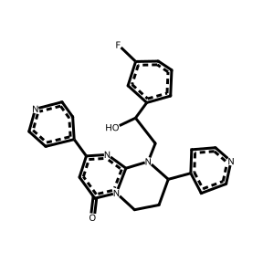 O=c1cc(-c2ccncc2)nc2n1CCC(c1ccncc1)N2CC(O)c1cccc(F)c1